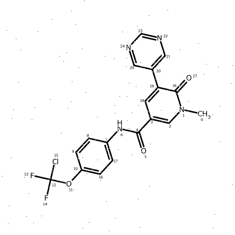 Cn1cc(C(=O)Nc2ccc(OC(F)(F)Cl)cc2)cc(-c2cncnc2)c1=O